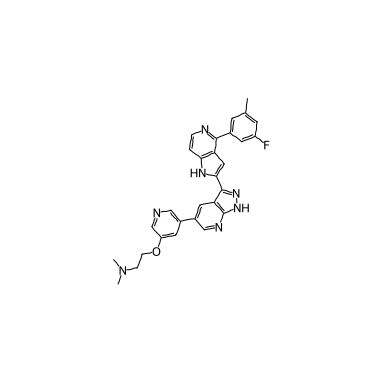 Cc1cc(F)cc(-c2nccc3[nH]c(-c4n[nH]c5ncc(-c6cncc(OCCN(C)C)c6)cc45)cc23)c1